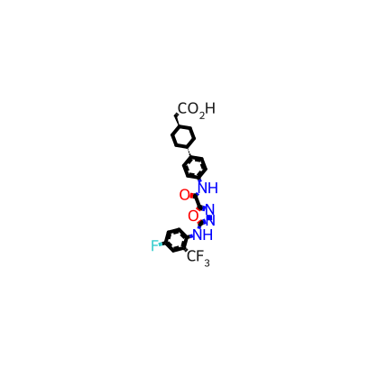 O=C(O)C[C@H]1CC[C@H](c2ccc(NC(=O)c3nnc(Nc4ccc(F)cc4C(F)(F)F)o3)cc2)CC1